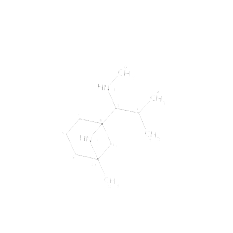 CNC(C(C)C)C12CCCC(C)(C1)N2